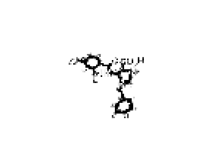 O=C(Nc1c(C(=O)O)ncn1Cc1ccccc1)c1ccc(Cl)cc1Cl